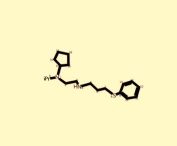 CC(C)N(CCNCCCSc1ccccc1)C1CCCC1